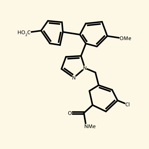 CNC(=O)C1C=C(Cl)C=C(Cn2nccc2-c2cc(OC)ccc2-c2ccc(C(=O)O)cc2)C1